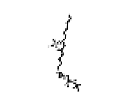 CCCCCCCCC(CCCC[C@@H]1C[C@H]1CC(=O)OC(C)(C)C)OS(C)(=O)=O